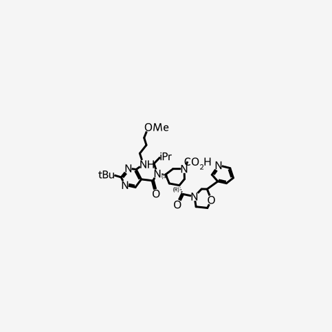 COCCCNc1nc(C(C)(C)C)ncc1C(=O)N(CC(C)C)[C@H]1C[C@@H](C(=O)N2CCOC(c3cccnc3)C2)CN(C(=O)O)C1